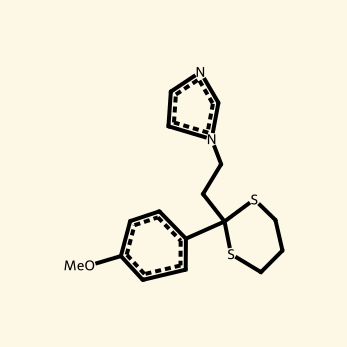 COc1ccc(C2(CCn3ccnc3)SCCCS2)cc1